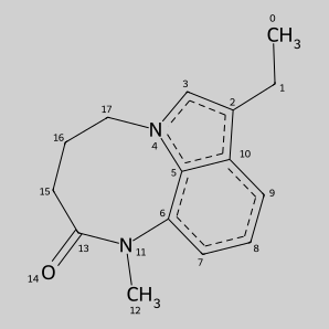 CCc1cn2c3c(cccc13)N(C)C(=O)CCC2